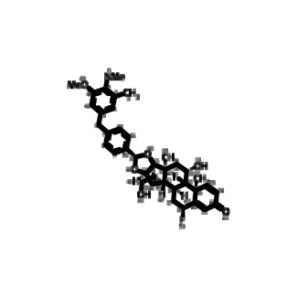 CNc1c(C)cc(Cc2ccc([C@@H]3O[C@@H]4C[C@H]5[C@@H]6C[C@H](F)C7=CC(=O)C=C[C@]7(C)[C@@]6(F)[C@@H](O)C[C@]5(C)[C@]4(C(=O)CO)O3)cc2)cc1OC